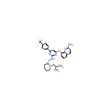 CC(C)CN1CCCC[C@@H]1CNc1nc(Oc2cccc3ccc(N)nc23)cc(-c2ccc(C(F)(F)F)cc2)n1